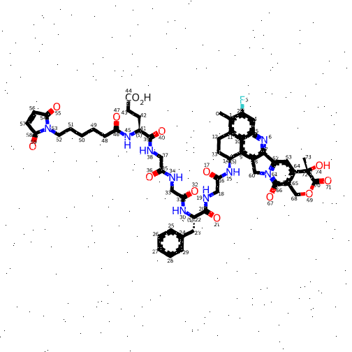 Cc1c(F)cc2nc3c(c4c2c1CC[C@@H]4NC(=O)CNC(=O)[C@H](Cc1ccccc1)NC(=O)CNC(=O)CNC(=O)[C@H](CCC(=O)O)NC(=O)CCCCCN1C(=O)C=CC1=O)Cn1c-3cc2c(c1=O)COC(=O)[C@@]2(C)O